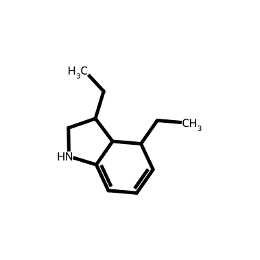 CCC1C=CC=C2NCC(CC)C21